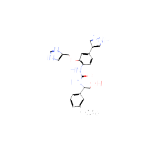 COc1cccc(C(CO)NC(=O)Nc2ccc(-c3cn[nH]c3)cc2OCc2c[nH]cn2)c1